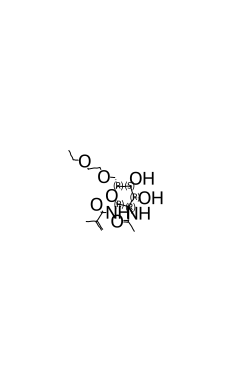 C=C(C)C(=O)N[C@@H]1O[C@H](COCCOCC)[C@@H](O)[C@H](O)[C@H]1NC(C)=O